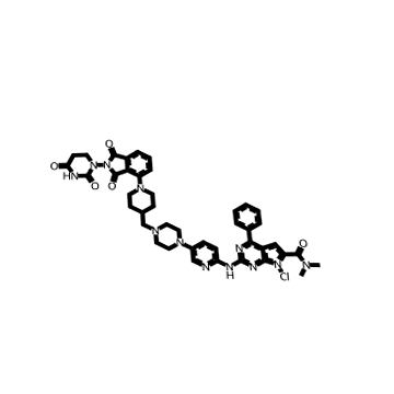 CN(C)C(=O)c1cc2c(-c3ccccc3)nc(Nc3ccc(N4CCN(CC5CCN(c6cccc7c6C(=O)N(N6CCC(=O)NC6=O)C7=O)CC5)CC4)cn3)nc2n1Cl